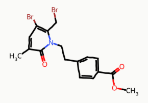 COC(=O)c1ccc(CCn2c(CBr)c(Br)cc(C)c2=O)cc1